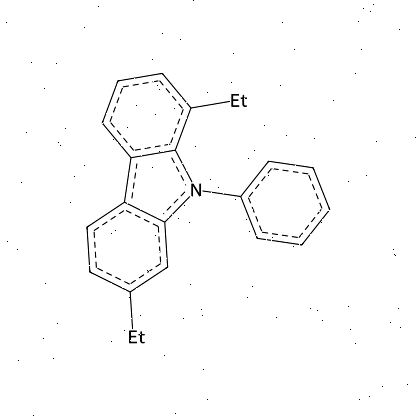 CCc1ccc2c3cccc(CC)c3n(-c3ccccc3)c2c1